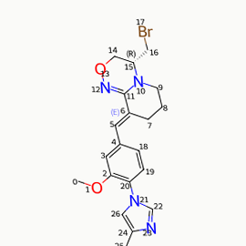 COc1cc(/C=C2\CCCN3C2=NOC[C@@H]3CBr)ccc1-n1cnc(C)c1